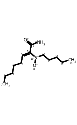 CCCCCC=C(C(N)=O)[S+]([O-])CCCCC